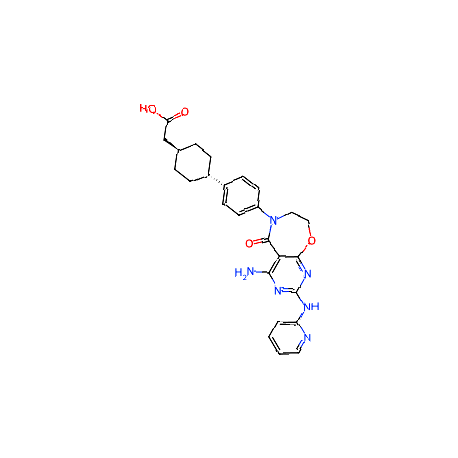 Nc1nc(Nc2ccccn2)nc2c1C(=O)N(c1ccc([C@H]3CC[C@H](CC(=O)O)CC3)cc1)CCO2